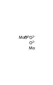 [Mo+6].[Mo].[O-2].[O-2].[O-2]